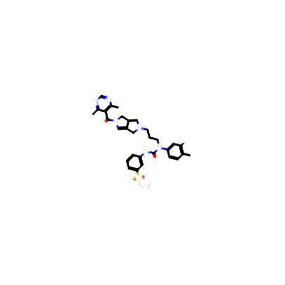 Cc1ccc(N(CCCN2CC3=CN(C(=O)c4c(C)ncnc4C)CC3C2)C(=O)Nc2cccc(S(N)(=O)=O)c2)cc1Cl